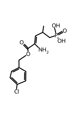 CC(C=C(N)C(=O)OCc1ccc(Cl)cc1)CP(=O)(O)O